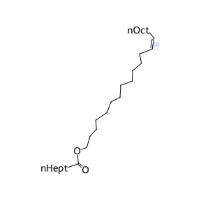 CCCCCCCC/C=C\CCCCCCCCCCCCOC(=O)CCCCCCC